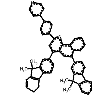 CC1(C)C2=C(CCC=C2)c2ccc(-c3cc(-c4ccc(-c5ccncc5)cc4)nc4c3cc(-c3ccc5c(c3)C(C)(C)c3ccccc3-5)c3ccccc34)cc21